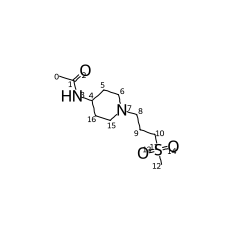 CC(=O)NC1CCN(CCCS(C)(=O)=O)CC1